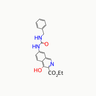 CCOC(=O)c1ncc2cc(NC(=O)NCc3ccccc3)ccc2c1O